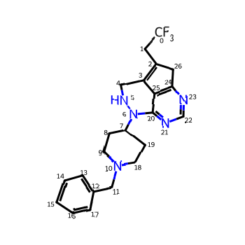 FC(F)(F)CC1=C2CNN(C3CCN(Cc4ccccc4)CC3)c3ncnc(c32)C1